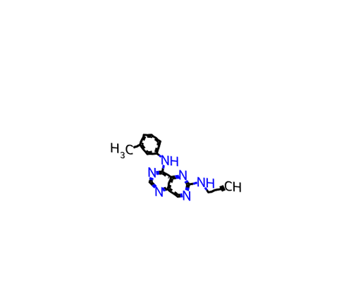 C#CCNc1ncc2ncnc(Nc3cccc(C)c3)c2n1